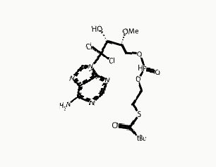 CO[C@H](CO[PH](=O)OCCSC(=O)C(C)(C)C)[C@@H](O)C(Cl)(Cl)n1cnc2c(N)ncnc21